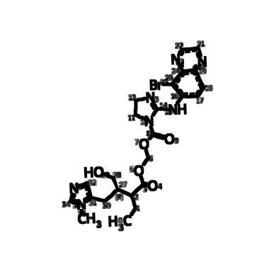 CCC(C(=O)OCOC(=O)N1CCN=C1Nc1ccc2nccnc2c1Br)[C@H](CO)Cc1cncn1C